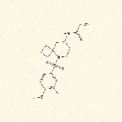 C=CC(=O)NC1CCN(S(=O)(=O)c2ccc(OC)c(C)c2)C2(CCC2)C1